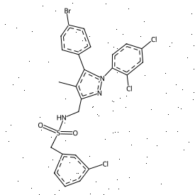 Cc1c(CNS(=O)(=O)Cc2cccc(Cl)c2)nn(-c2ccc(Cl)cc2Cl)c1-c1ccc(Br)cc1